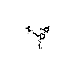 C=C(C)C(=O)OCCCc1cc(-c2ccc(C)cc2F)ccc1OCCO